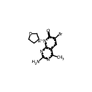 Cc1nc(N)nc2c1cc(Br)c(=O)n2[C@@H]1CCOC1